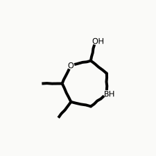 CC1CBCC(O)OC1C